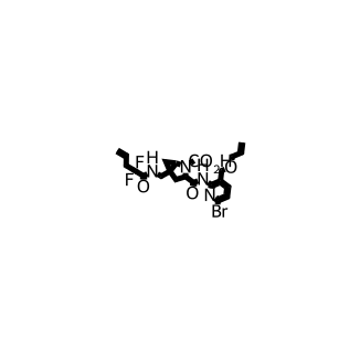 C=CCOCc1ccc(Br)nc1NC(=O)C1CC2(CNC(=O)C(F)(F)CC=C)CC2N1C(=O)O